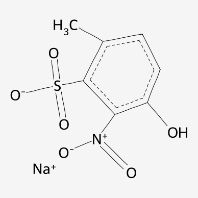 Cc1ccc(O)c([N+](=O)[O-])c1S(=O)(=O)[O-].[Na+]